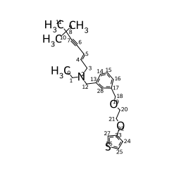 CCN(CC=CC#CC(C)(C)C)Cc1cccc(COCCOc2ccsc2)c1